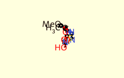 COc1ccc(C23CCC(CN(c4cc(-c5cnc(C(C)C)s5)ccn4)C(=O)[C@H]4CC[C@H](OC(=O)N5CC(CO)C5)CC4)(CC2)CC3)cc1C